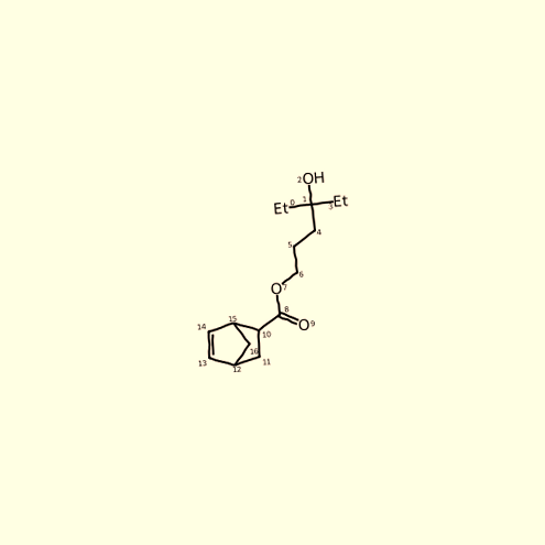 CCC(O)(CC)CCCOC(=O)C1CC2C=CC1C2